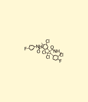 Cc1c(Cl)cc(C2(C(N)=O)C(c3ccc(F)c(Cl)c3)C2(Cl)Cl)cc1C(=O)Nc1ccc(F)cc1